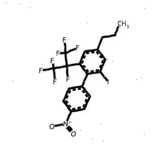 CCCc1[c]c(I)c(-c2ccc([N+](=O)[O-])cc2)c(C(F)(C(F)(F)F)C(F)(F)F)c1